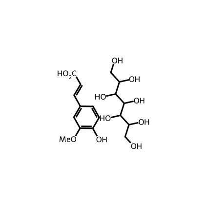 COc1cc(/C=C/C(=O)O)ccc1O.OCC(O)C(O)C(O)C(O)C(O)CO